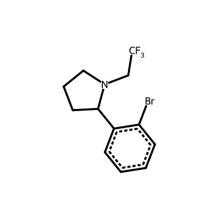 FC(F)(F)CN1CCCC1c1ccccc1Br